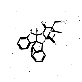 CN1C(=O)[C@]23SS[C@@]1(CO)C(=O)N2[C@H]1Nc2ccccc2C12c1c[nH]c4cccc(c14)C23